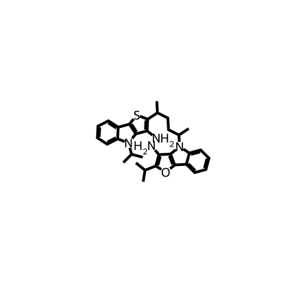 CC(C)c1oc2c3ccccc3n(C(C)CCC(C)c3sc4c5ccccc5n(C(C)C)c4c3N)c2c1N